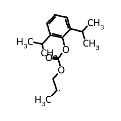 C[CH]COC(=O)Oc1c(C(C)C)cccc1C(C)C